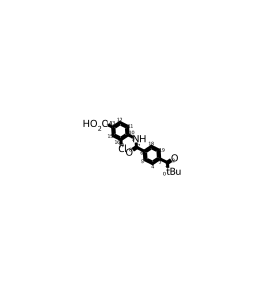 CC(C)(C)C(=O)c1ccc(C(=O)Nc2ccc(C(=O)O)cc2Cl)cc1